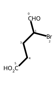 O=CC(Br)CCC(=O)O